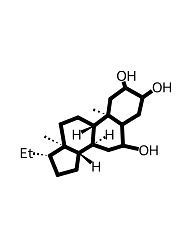 CC[C@H]1CC[C@H]2[C@@H]3CC(O)C4CC(O)C(O)C[C@]4(C)[C@H]3CC[C@]12C